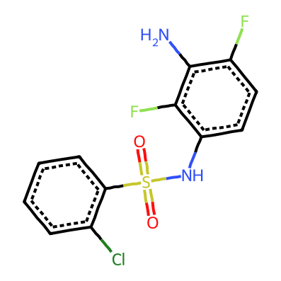 Nc1c(F)ccc(NS(=O)(=O)c2ccccc2Cl)c1F